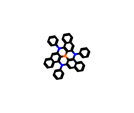 c1ccc(N2c3cc4ccccc4c4c3P3c5c(cc6ccccc6c52)N(c2ccccc2)c2c3c(cc3ccccc23)N4c2ccccc2)cc1